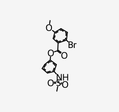 COc1ccc(Br)c(C(=O)Oc2cccc(NS(C)(=O)=O)c2)c1